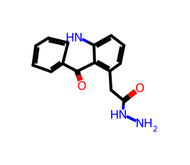 NNC(=O)Cc1cccc2[nH]c3ccccc3c(=O)c12